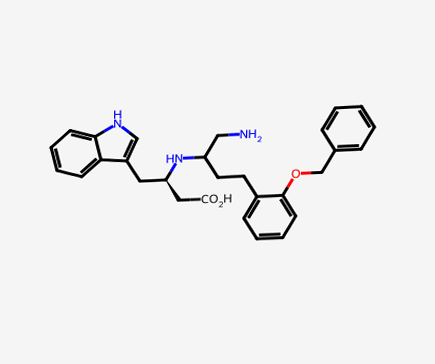 NCC(CCc1ccccc1OCc1ccccc1)N[C@@H](CC(=O)O)Cc1c[nH]c2ccccc12